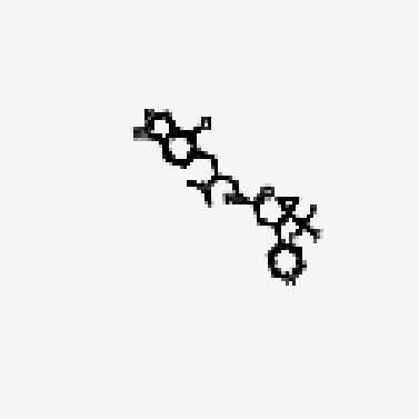 CN(C)[C@H](CNC(=O)C[C@H](c1ccncc1)C1(C(F)(F)F)CC1)Cc1ccc2[nH]ncc2c1Cl